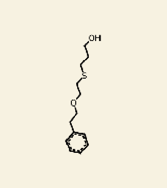 OCCCSCCOCCc1ccccc1